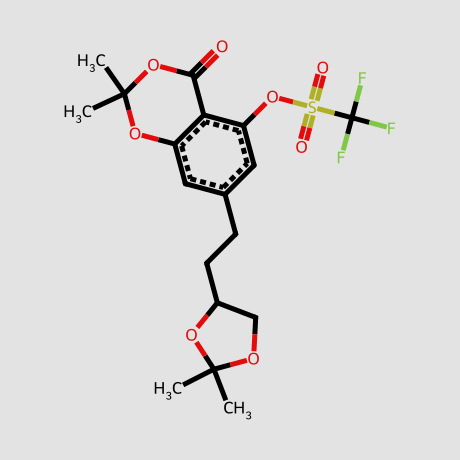 CC1(C)OC(=O)c2c(cc(CCC3COC(C)(C)O3)cc2OS(=O)(=O)C(F)(F)F)O1